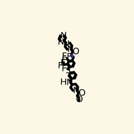 COCC(=O)N1CCC(Nc2cccc(Sc3ccc(/C=C/C(=O)N4CCN(c5cnccn5)CC4)c(C(F)(F)F)c3C(F)(F)F)c2)CC1